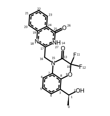 C[C@H](O)c1cccc2c1OC(F)(F)C(=O)N2Cc1nc2ccccc2c(=O)[nH]1